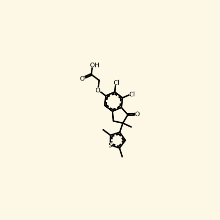 Cc1cc(C2(C)Cc3cc(OCC(=O)O)c(Cl)c(Cl)c3C2=O)c(C)s1